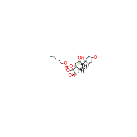 CCCCCOC(=O)O[C@]1(C(=O)O)[C@H](C)C[C@H]2[C@@H]3CCC4=CC(=O)C=C[C@]4(C)[C@@]3(F)[C@@H](O)C[C@@]21C